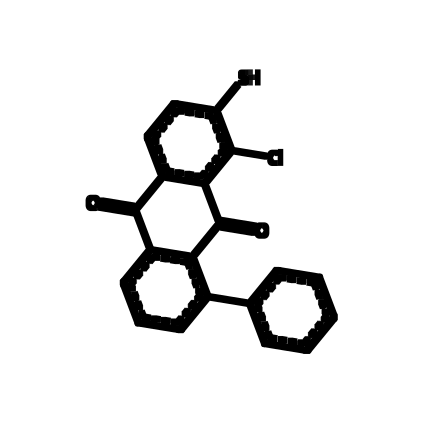 O=C1c2cccc(-c3ccccc3)c2C(=O)c2c1ccc(S)c2Cl